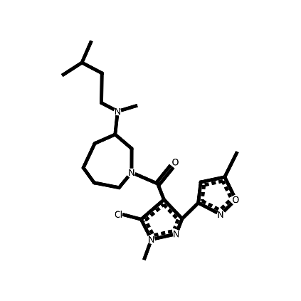 Cc1cc(-c2nn(C)c(Cl)c2C(=O)N2CCCCC(N(C)CCC(C)C)C2)no1